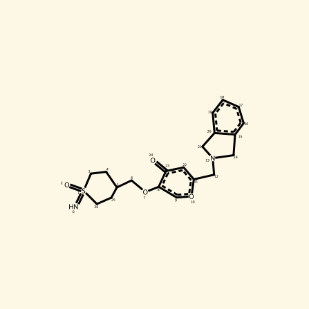 N=S1(=O)CCC(COc2coc(CN3Cc4ccccc4C3)cc2=O)CC1